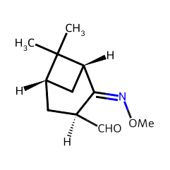 CON=C1[C@@H](C=O)C[C@H]2C[C@@H]1C2(C)C